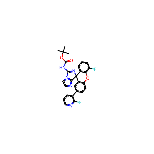 CC(C)(C)OC(=O)NC1=NC2(c3cc(-c4cccnc4F)ccc3Oc3c(F)c[c]cc32)c2nccn21